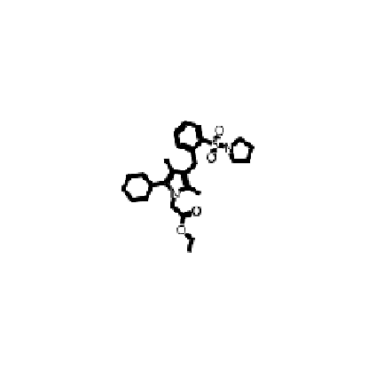 CCOC(=O)Cn1c(C)c(Cc2ccccc2S(=O)(=O)N2CCCC2)c(C)c1C1CCCCC1